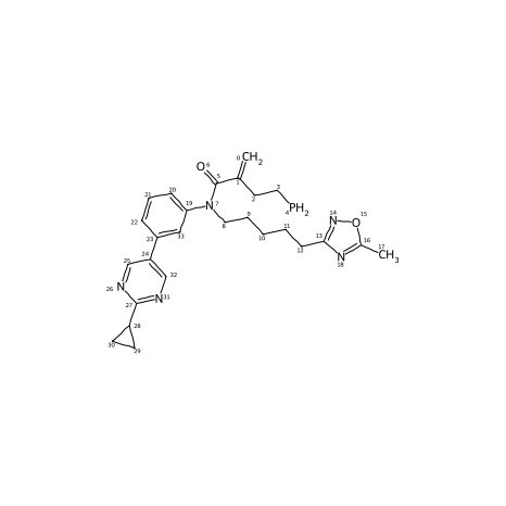 C=C(CCP)C(=O)N(CCCCCc1noc(C)n1)c1cccc(-c2cnc(C3CC3)nc2)c1